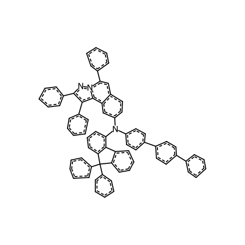 c1ccc(-c2ccc(-c3ccc(N(c4ccc5cc(-c6ccccc6)n6nc(-c7ccccc7)c(-c7ccccc7)c6c5c4)c4cccc5c4-c4ccccc4C5(c4ccccc4)c4ccccc4)cc3)cc2)cc1